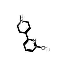 Cc1cccc(C2=CCNCC2)n1